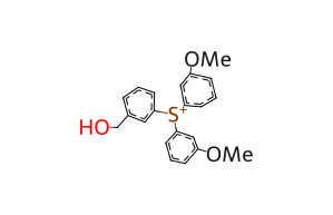 COc1cccc([S+](c2cccc(CO)c2)c2cccc(OC)c2)c1